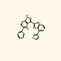 Fc1c(-c2cccnc2)cnc2[nH]nc(-c3nc4c(-c5ccoc5)nccc4[nH]3)c12